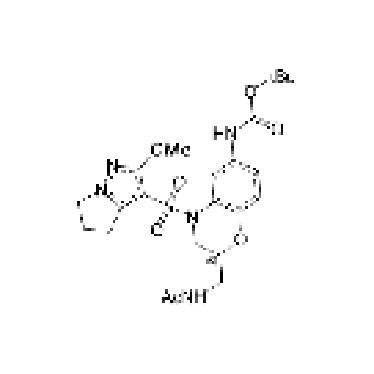 COc1nn2c(c1S(=O)(=O)N1C[C@H](CNC(C)=O)Oc3ccc(NC(=O)OC(C)(C)C)cc31)CCC2